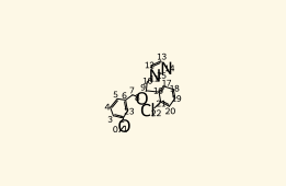 COc1cccc(COC(Cn2ccnc2)c2ccccc2Cl)c1